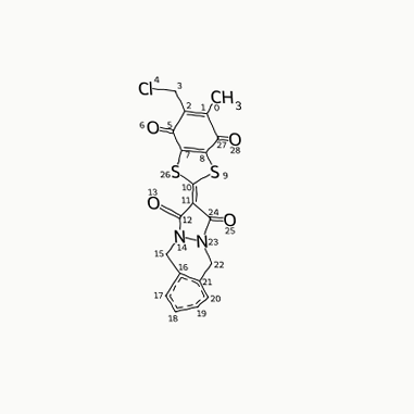 CC1=C(CCl)C(=O)C2=C(SC(=C3C(=O)N4Cc5ccccc5CN4C3=O)S2)C1=O